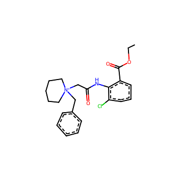 CCOC(=O)c1cccc(Cl)c1NC(=O)C[N+]1(Cc2ccccc2)CCCCC1